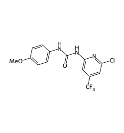 COc1ccc(NC(=O)Nc2cc(C(F)(F)F)cc(Cl)n2)cc1